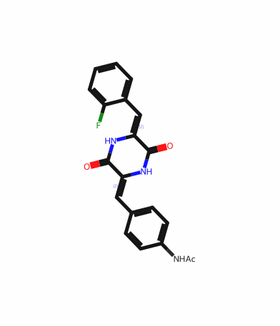 CC(=O)Nc1ccc(/C=c2\[nH]c(=O)/c(=C/c3ccccc3F)[nH]c2=O)cc1